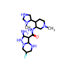 CN1CCC(C2CNCN2C)C(NC(=O)C2C(N)NN3CC(F)CNC23)C1